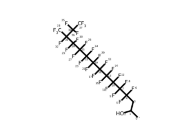 [CH2]C(O)CC(F)(F)C(F)(F)C(F)(F)C(F)(F)C(F)(F)C(F)(F)C(F)(F)C(F)(F)C(F)(F)C(F)(C(F)(F)F)C(F)(F)C(F)(F)F